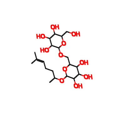 CC(C)=CCCC(C)OC1OC(COC2OC(CO)C(O)C(O)C2O)C(O)C(O)C1O